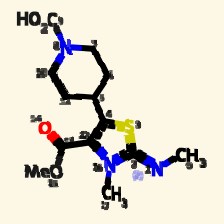 C/N=c1\sc(C2CCN(C(=O)O)CC2)c(C(=O)OC)n1C